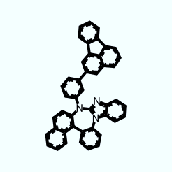 c1cc(-c2cc3c4c(cccc4c2)-c2ccccc2-3)cc(N2c3ccc4ccccc4c3-c3ccccc3-n3c2nc2ccccc23)c1